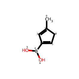 CC1=CC(B(O)O)=CC1